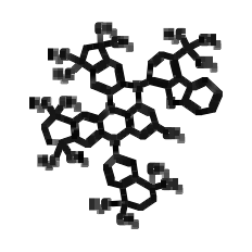 Cc1cc2c3c(c1)N(c1ccc(C(C)(C)C)c4c1sc1ccccc14)c1cc4c(cc1B3c1cc3c(cc1N2c1ccc2c(c1)C(C)(C)CCC2(C)C)C(C)(C)CCC3(C)C)C(C)(C)CC4(C)C